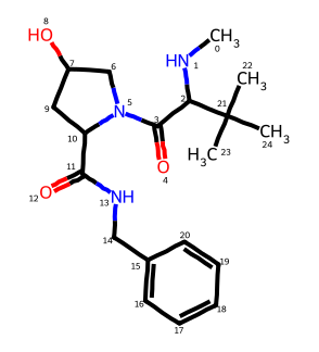 CNC(C(=O)N1CC(O)CC1C(=O)NCc1ccccc1)C(C)(C)C